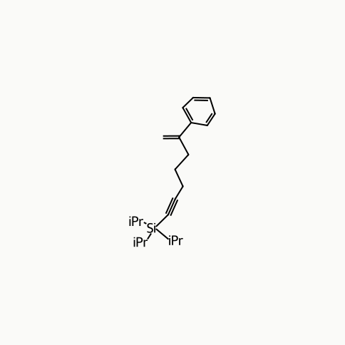 C=C(CCCC#C[Si](C(C)C)(C(C)C)C(C)C)c1ccccc1